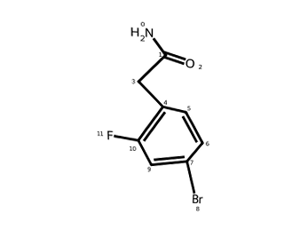 NC(=O)Cc1ccc(Br)cc1F